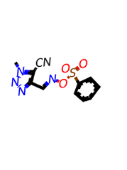 Cn1nnc(C=NOS(=O)(=O)c2ccccc2)c1C#N